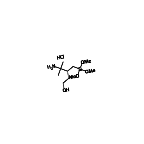 CO[Si](CC(CCO)C(C)(C)N)(OC)OC.Cl